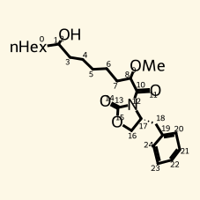 CCCCCCC(O)CCCCCC(OC)C(=O)N1C(=O)OC[C@H]1Cc1ccccc1